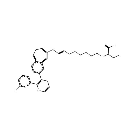 CCC(NCCCCCC/C=C/CC1=CCC=c2ccc(C3=C(c4cccc(C)n4)NC=CC3)cc2=C1)C(=O)O